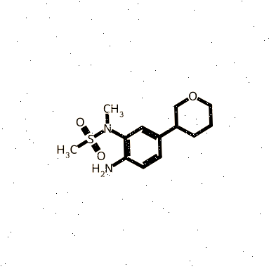 CN(c1cc(C2CCCOC2)ccc1N)S(C)(=O)=O